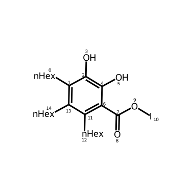 CCCCCCc1c(O)c(O)c(C(=O)OI)c(CCCCCC)c1CCCCCC